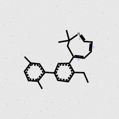 CCc1ccc(-c2cc(C)ccc2C)cc1/C1=C/C=C\C=N\C(C)(C)C1